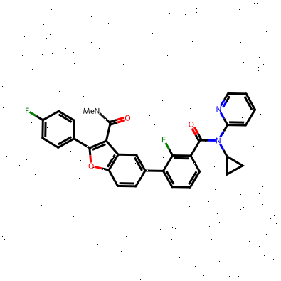 CNC(=O)c1c(-c2ccc(F)cc2)oc2ccc(-c3cccc(C(=O)N(c4ccccn4)C4CC4)c3F)cc12